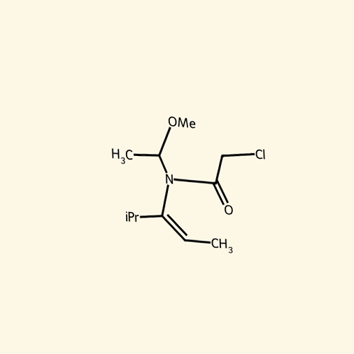 C/C=C(/C(C)C)N(C(=O)CCl)C(C)OC